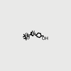 CC1(C)OB(c2cnn(C3CCC(CO)CC3)c2)OC1(C)C